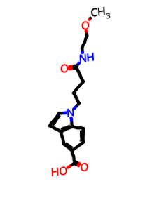 COCCNC(=O)CCCn1ccc2cc(C(=O)O)ccc21